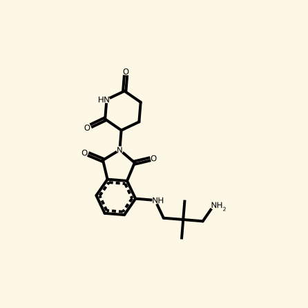 CC(C)(CN)CNc1cccc2c1C(=O)N(C1CCC(=O)NC1=O)C2=O